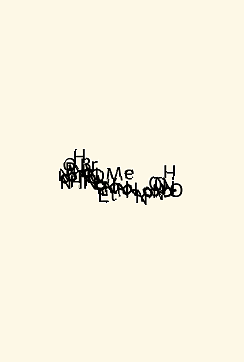 CCc1cc(Nc2ncc(Br)c(Nc3ccc4nccnc4c3P(C)(C)=O)n2)c(OC)cc1N1CCC(N2CCN(CCN(C)c3ccc4c(c3)CN(C3CCC(=O)NC3=O)C4=O)CC2)CC1